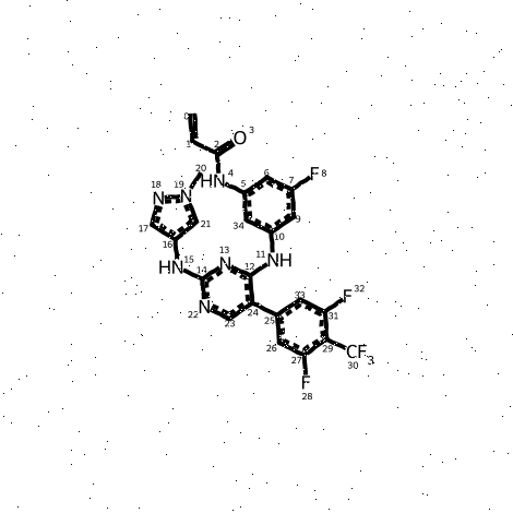 C=CC(=O)Nc1cc(F)cc(Nc2nc(Nc3cnn(C)c3)ncc2-c2cc(F)c(C(F)(F)F)c(F)c2)c1